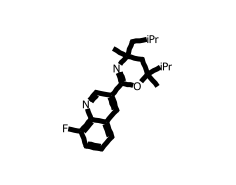 CC(C)CC1(C)CC(C)(C(C)C)OC(c2cnc3c(F)cccc3c2)=N1